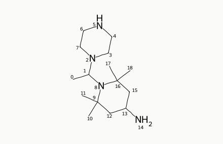 CC(N1CCNCC1)N1C(C)(C)CC(N)CC1(C)C